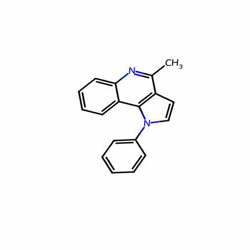 Cc1nc2ccccc2c2c1ccn2-c1ccccc1